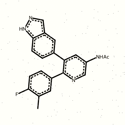 CC(=O)Nc1cnc(-c2ccc(F)c(C)c2)c(-c2ccc3[nH]ncc3c2)c1